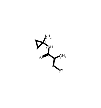 CC(C)CC(N)C(=O)NC1(N)CC1